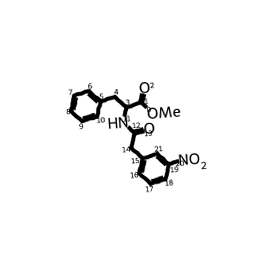 COC(=O)C(Cc1ccccc1)NC(=O)Cc1cccc([N+](=O)[O-])c1